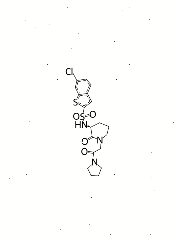 O=C(CN1CCC[C@H](NS(=O)(=O)c2cc3ccc(Cl)cc3s2)C1=O)N1CCCC1